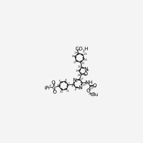 CC(C)S(=O)(=O)c1ccc(-c2cnc(NC(=O)OC(C)(C)C)c(-c3cc(-c4ccc(C(=O)O)cc4)no3)n2)cc1